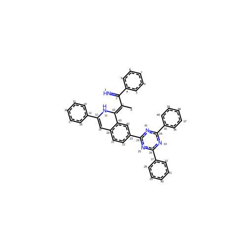 C/C(C(=N)c1ccccc1)=C1/NC(c2ccccc2)=Cc2ccc(-c3nc(-c4ccccc4)nc(-c4ccccc4)n3)cc21